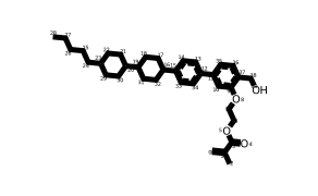 C=C(C)C(=O)OCCOc1cc(-c2ccc(C3CCC(C4CCC(CCCCC)CC4)CC3)cc2)ccc1CO